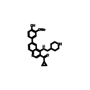 COc1cc(-c2ccc3ncc(C(=O)C4CC4)c(NCC4CCNCC4)c3c2)ccc1O